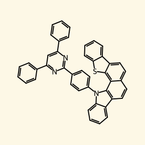 c1ccc(-c2cc(-c3ccccc3)nc(-c3ccc(-n4c5ccccc5c5ccc6ccc7c8ccccc8sc7c6c54)cc3)n2)cc1